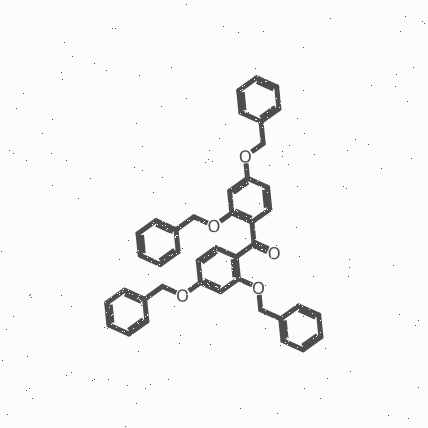 O=C(c1ccc(OCc2ccccc2)cc1OCc1ccccc1)c1ccc(OCc2ccccc2)cc1OCc1ccccc1